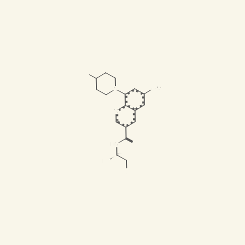 COc1cc(N2CCC(C(F)(F)F)CC2)c2ncc(C(=O)N[C@@H](CO)C(C)(C)C)cc2c1